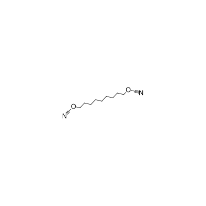 N#COCCCCCCCCCOC#N